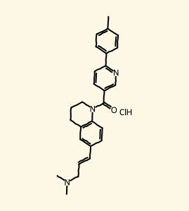 Cc1ccc(-c2ccc(C(=O)N3CCCc4cc(C=CCN(C)C)ccc43)cn2)cc1.Cl